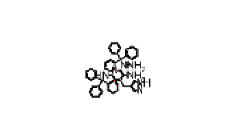 Nc1c(Cc2cn[nH]c2)cc(NC(c2ccccc2)(c2ccccc2)c2ccccc2)nc1N(N)C(c1ccccc1)(c1ccccc1)c1ccccc1